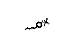 CCC/C=C/c1ccc(OC(F)(F)F)cc1